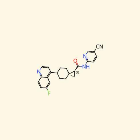 N#Cc1ccc(NC(=O)[C@H]2C[C@]23CC[C@H](c2ccnc4ccc(F)cc42)CC3)nc1